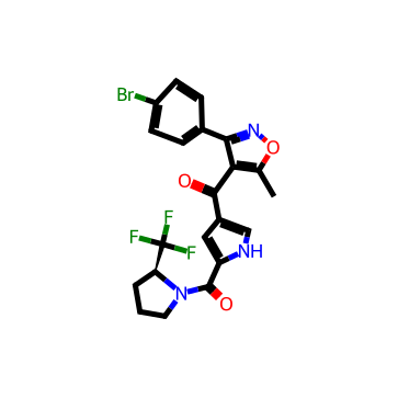 Cc1onc(-c2ccc(Br)cc2)c1C(=O)c1c[nH]c(C(=O)N2CCC[C@H]2C(F)(F)F)c1